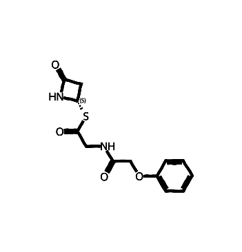 O=C(COc1ccccc1)NCC(=O)S[C@H]1CC(=O)N1